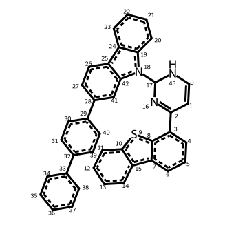 C1=CC(c2cccc3c2sc2ccccc23)=NC(n2c3ccccc3c3ccc(-c4ccc(-c5ccccc5)cc4)cc32)N1